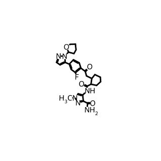 Cn1cc(NC(=O)C2CCCCC2CC(=O)c2ccc(-c3ccnn3C3CCCCO3)cc2F)c(C(N)=O)n1